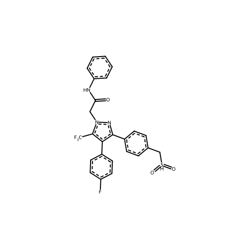 O=C(Cn1nc(-c2ccc(C[SH](=O)=O)cc2)c(-c2ccc(F)cc2)c1C(F)(F)F)Nc1ccccc1